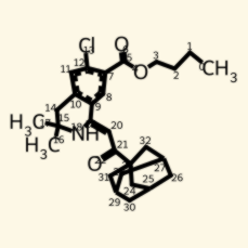 CCCCOC(=O)c1cc2c(cc1Cl)CC(C)(C)N/C2=C\C(=O)C12CC3CC(CC(C3)C1)C2